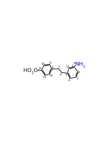 Nc1cccc(C[CH]c2ccc(C(=O)O)cc2)c1